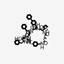 O=C1CCC(=O)NC(c2cccs2)C(=O)N[C@@H](Cc2ccc(-c3ccccc3)cc2)C(=O)N[C@H](CCc2ccccc2)C(=O)N[C@H](C(=O)N[C@@H](Cc2ccccc2)C(=O)O)Cc2ccc(cc2)N1